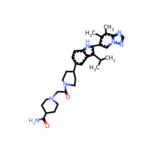 Cc1c(-c2[nH]c3ccc(C4CCN(C(=O)CN5CCC(C(N)=O)CC5)CC4)cc3c2C(C)C)cn2ncnc2c1C